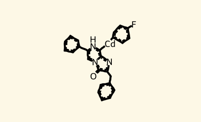 O=c1c(Cc2ccccc2)nc2[c]([Cd][c]3ccc(F)cc3)[nH]c(-c3ccccc3)cn1-2